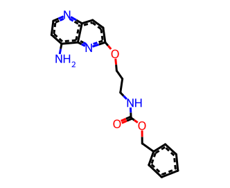 Nc1ccnc2ccc(OCCCNC(=O)OCc3ccccc3)nc12